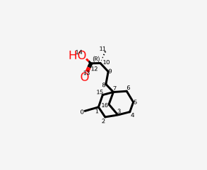 CC1CC2CCCC(CC[C@@H](C)C(=O)O)(C1)C2